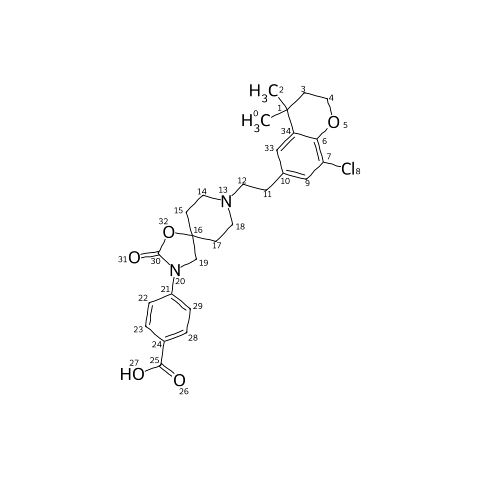 CC1(C)CCOc2c(Cl)cc(CCN3CCC4(CC3)CN(c3ccc(C(=O)O)cc3)C(=O)O4)cc21